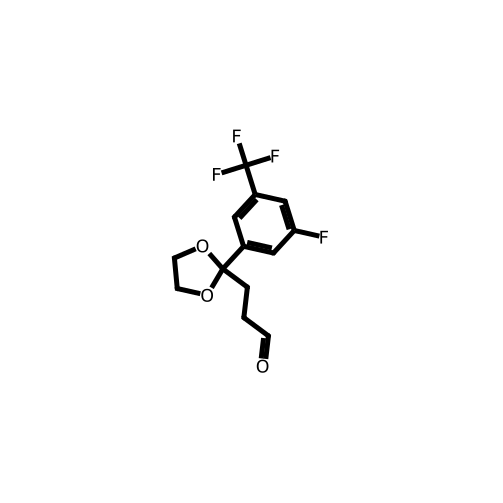 O=CCCC1(c2cc(F)cc(C(F)(F)F)c2)OCCO1